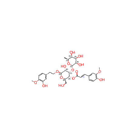 COc1ccc(CCO[C@@H]2O[C@H](CO)[C@@H](OC(=O)/C=C/c3ccc(O)c(OC)c3)[C@@H](O[C@@H]3O[C@@H](C)[C@@H](O)[C@@H](O)[C@H]3O)[C@H]2O)cc1O